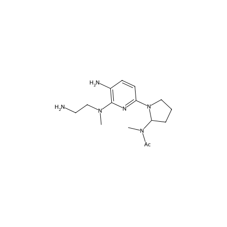 CC(=O)N(C)C1CCCN1c1ccc(N)c(N(C)CCN)n1